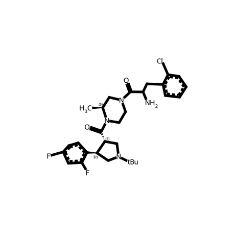 C[C@H]1CN(C(=O)C(N)Cc2ccccc2Cl)CCN1C(=O)[C@@H]1CN(C(C)(C)C)C[C@H]1c1ccc(F)cc1F